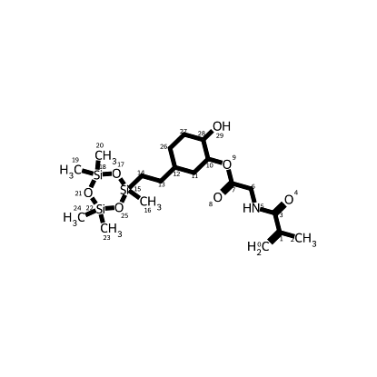 C=C(C)C(=O)NCC(=O)OC1CC(CC[Si]2(C)O[Si](C)(C)O[Si](C)(C)O2)CCC1O